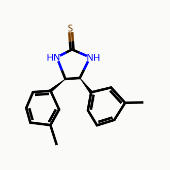 Cc1cccc([C@H]2NC(=S)N[C@H]2c2cccc(C)c2)c1